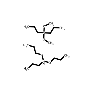 CCCO[SiH](CCC)OCCC.CCC[Si](CCC)(OC)OC